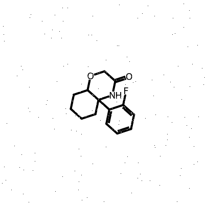 O=C1COC2CCCCC2(c2ccccc2F)N1